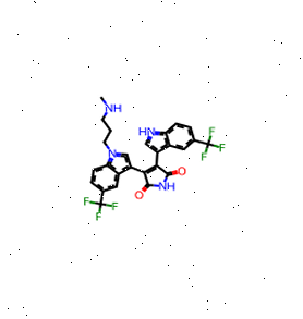 CNCCCn1cc(C2=C(c3c[nH]c4ccc(C(F)(F)F)cc34)C(=O)NC2=O)c2cc(C(F)(F)F)ccc21